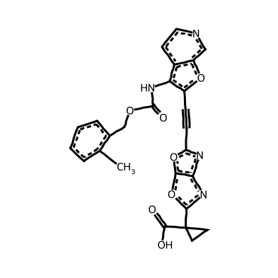 Cc1ccccc1COC(=O)Nc1c(C#Cc2nc3nc(C4(C(=O)O)CC4)oc3o2)oc2cnccc12